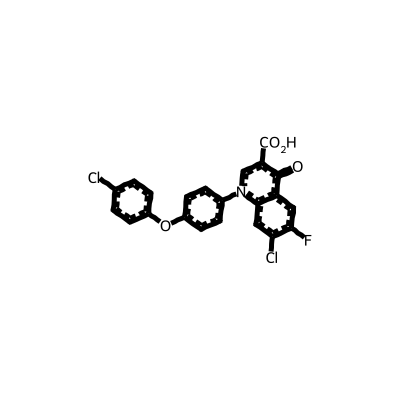 O=C(O)c1cn(-c2ccc(Oc3ccc(Cl)cc3)cc2)c2cc(Cl)c(F)cc2c1=O